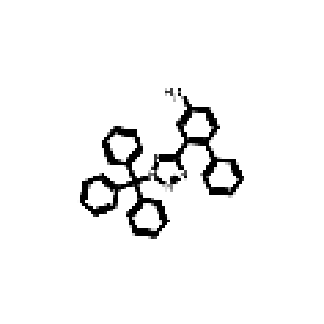 Cc1ccc(-c2ccccc2)c(-c2nnn(C(c3ccccc3)(c3ccccc3)c3ccccc3)n2)c1